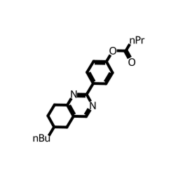 CCCCC1CCc2nc(-c3ccc(OC(=O)CCC)cc3)ncc2C1